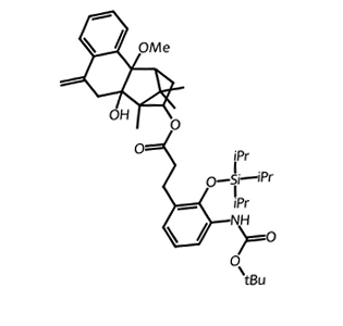 C=C1CC2(O)C(OC)(c3ccccc31)C1CC(OC(=O)CCc3cccc(NC(=O)OC(C)(C)C)c3O[Si](C(C)C)(C(C)C)C(C)C)C2(C)C1(C)C